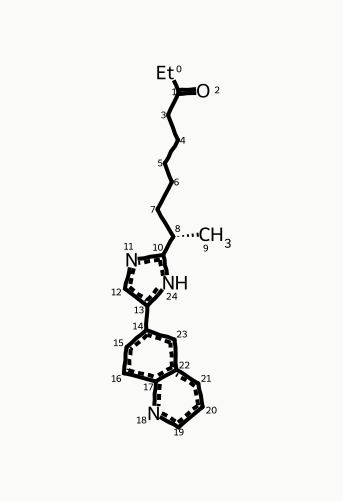 CCC(=O)CCCCC[C@H](C)c1ncc(-c2ccc3ncccc3c2)[nH]1